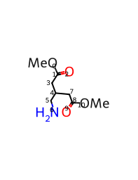 COC(=O)CC(CN)CC(=O)OC